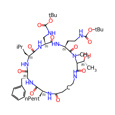 CCCCC[C@@H]1NC(=O)CCCNC(=O)C([C@@H](C)O)N(C)C(=O)[C@H](CCNC(=O)OC(C)(C)C)NC(=O)[C@H](CNC(=O)OC(C)(C)C)NC(=O)[C@H](CC(C)C)NC(=O)[C@@H](Cc2ccccc2)NC1=O